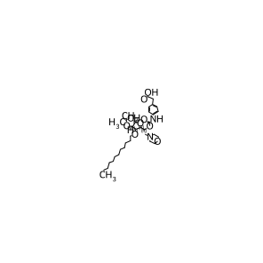 CCCCCCCCCCCCO[C@@H]1[C@H]2OC(C)(C)O[C@H]2O[C@@H]1[C@@H](CN1CCOCC1)OC(=O)Nc1ccc(CC(=O)O)cc1